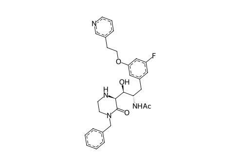 CC(=O)N[C@@H](Cc1cc(F)cc(OCCc2cccnc2)c1)[C@H](O)[C@@H]1NCCN(Cc2ccccc2)C1=O